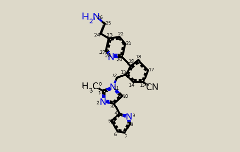 Cc1nc(-c2ccccn2)cn1Cc1cc(C#N)ccc1-c1ccc(CCN)cn1